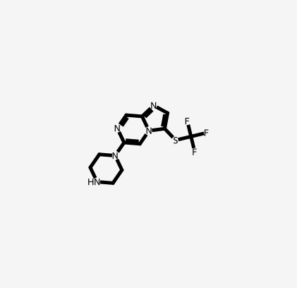 FC(F)(F)Sc1cnc2cnc(N3CCNCC3)cn12